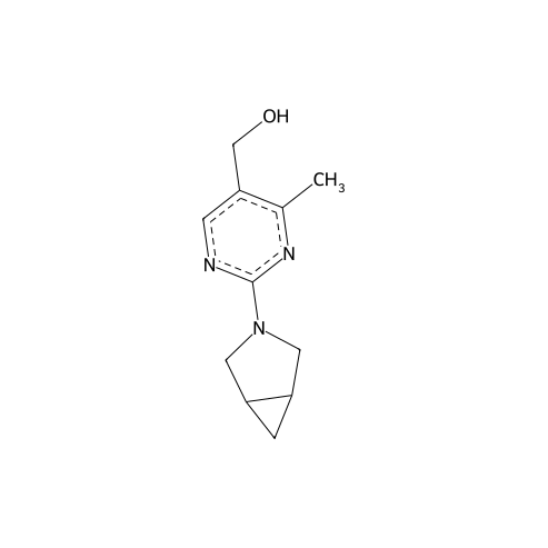 Cc1nc(N2CC3CC3C2)ncc1CO